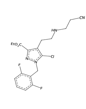 CCOC(=O)c1nn(Cc2c(F)cccc2F)c(Cl)c1CCNCCC#N